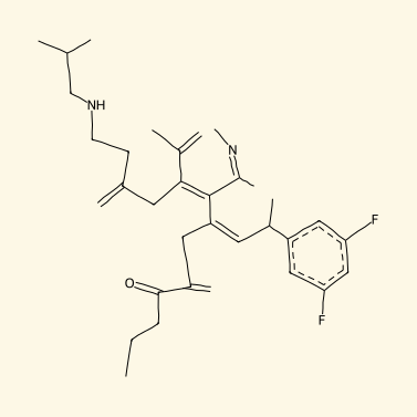 C=C(CCNCC(C)C)C/C(C(=C)C)=C(C(=C/C(C)c1cc(F)cc(F)c1)\CC(=C)C(=O)CCC)/C(C)=N\C